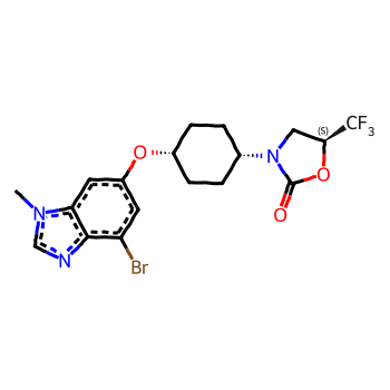 Cn1cnc2c(Br)cc(O[C@H]3CC[C@@H](N4C[C@@H](C(F)(F)F)OC4=O)CC3)cc21